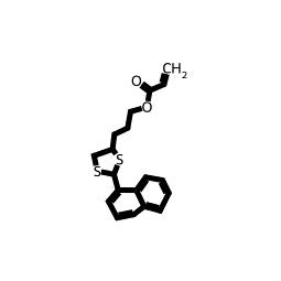 C=CC(=O)OCCCC1CSC(c2cccc3ccccc23)S1